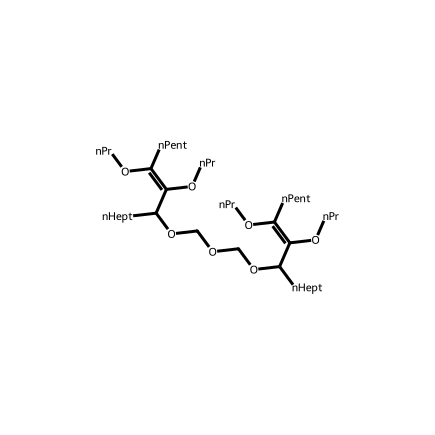 CCCCCCCC(OCOCOC(CCCCCCC)C(OCCC)=C(CCCCC)OCCC)C(OCCC)=C(CCCCC)OCCC